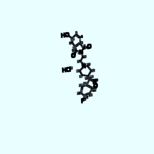 Cl.O=C1c2ccc(O)cc2C(=O)N1CCN1CCC(c2noc3cc(F)ccc23)CC1